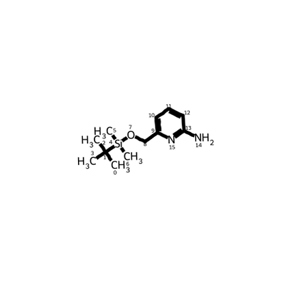 CC(C)(C)[Si](C)(C)OCc1cccc(N)n1